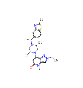 CCc1nc2cc(C(C)N3C[C@H](CC)N(c4cc(=O)n(C)c5cn(CC#N)nc45)C[C@H]3CC)ccc2s1